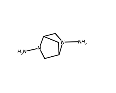 NN1CC2CC1CN2N